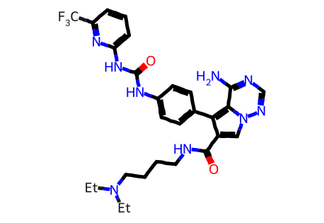 CCN(CC)CCCCNC(=O)c1cn2ncnc(N)c2c1-c1ccc(NC(=O)Nc2cccc(C(F)(F)F)n2)cc1